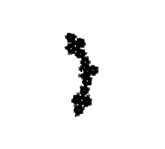 Cn1c2cc(-c3ccc(-c4c5ccccc5c(-c5ccccc5)c5ccccc45)cc3)ccc2c2c3ccccc3c3c4ccc(-c5ccc(-c6c7ccccc7c(-c7ccccc7)c7ccccc67)cc5)cc4n(C)c3c21